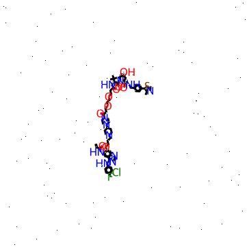 C=CC(=O)Nc1cc2c(Nc3ccc(F)c(Cl)c3)ncnc2cc1OCCCN1CCC(N2CCN(C(=O)CCOCCOCCC(=O)N[C@H](C(=O)N3C[C@H](O)C[C@H]3C(=O)NCc3ccc(-c4scnc4C)cc3)C(C)(C)C)CC2)CC1